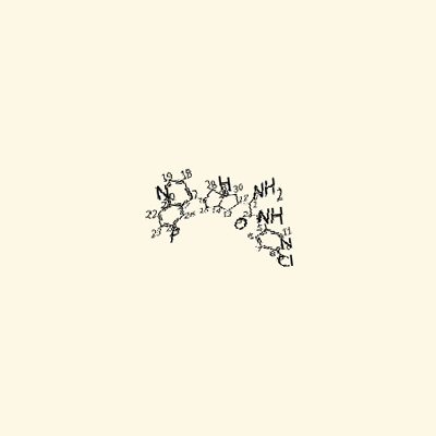 NC(C(=O)Nc1ccc(Cl)nc1)[C@@H]1CC2C[C@H](c3ccnc4ccc(F)cc34)C[C@@H]2C1